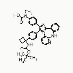 CN(C(=O)O)c1ccc(-c2nc3n(c2-c2ccc(C4(NC(=O)OC(C)(C)C)CCC4)cc2)-c2cccnc2Nc2ccccc2-3)cc1